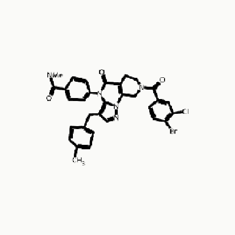 CNC(=O)c1ccc(-n2c(=O)c3c(n4ncc(Cc5ccc(C)cc5)c24)CN(C(=O)c2ccc(Br)c(Cl)c2)CC3)cc1